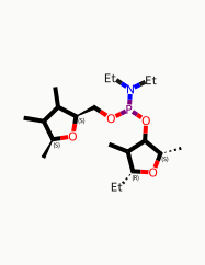 CC[C@H]1O[C@@H](C)C(OP(OC[C@H]2O[C@@H](C)C(C)C2C)N(CC)CC)C1C